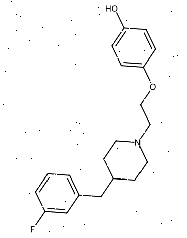 Oc1ccc(OCCN2CCC(Cc3cccc(F)c3)CC2)cc1